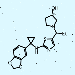 CCC(c1cnc(NC2(c3ccc4c(c3)OCO4)CC2)s1)N1CC[C@@H](O)C1